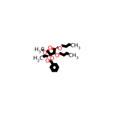 C=CC[C@]1(OC(=O)c2ccccc2)[C@@H](OC)O[C@H](COCCCC)[C@H]1OCCCC